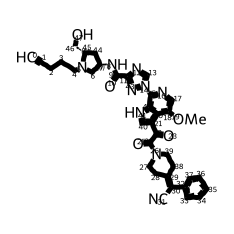 C#CCCCN1C[C@@H](NC(=O)c2ncn(-c3ncc(OC)c4c(C(=O)C(=O)N5CCC(=C(C#N)c6ccccc6)CC5)c[nH]c34)n2)C[C@H]1CO